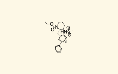 CCOC(=O)N1CCC[C@H](NS(C)(=O)=O)[C@@H]1Cc1ccnc(-c2ccccc2)c1